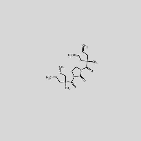 C=CCC(C)(CC=C)C(=O)N1CCN(C(=O)C(C)(CC=C)CC=C)C1=O